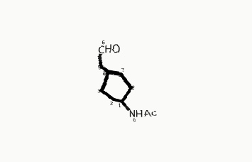 CC(=O)NC1CCC(CC=O)CC1